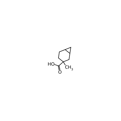 CC1(C(=O)O)CCC2CC2C1